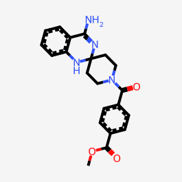 COC(=O)c1ccc(C(=O)N2CCC3(CC2)N=C(N)c2ccccc2N3)cc1